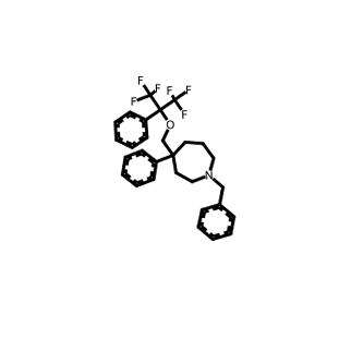 FC(F)(F)C(OCC1(c2ccccc2)CCCN(Cc2ccccc2)CC1)(c1ccccc1)C(F)(F)F